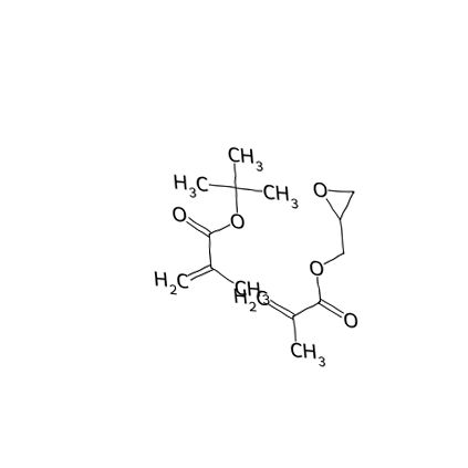 C=C(C)C(=O)OC(C)(C)C.C=C(C)C(=O)OCC1CO1